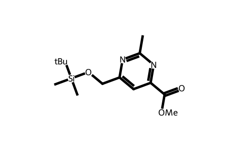 COC(=O)c1cc(CO[Si](C)(C)C(C)(C)C)nc(C)n1